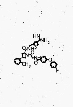 Cc1ccccc1[C@H]1C[C@@H](C(=O)NCc2cc(C(=N)N)cs2)N(C(=O)CNC(=O)c2ccc(Oc3ccc(F)cc3)cc2)C1